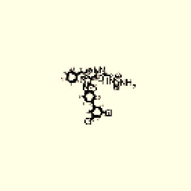 NS(=O)(=O)NCc1nnc(C(c2nc3ccc(-c4cc(Cl)cc(Cl)c4)cc3s2)S(=O)(=O)Cc2ccccc2)o1